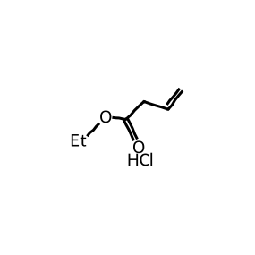 C=CCC(=O)OCC.Cl